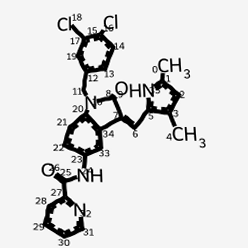 Cc1cc(C)c(/C=C2\C(=O)N(Cc3ccc(Cl)c(Cl)c3)c3ccc(NC(=O)c4ccccn4)cc32)[nH]1